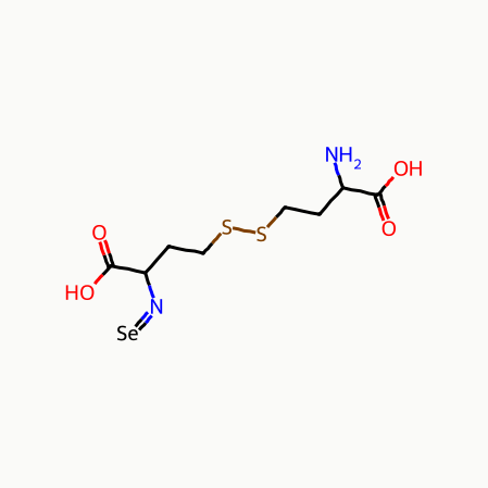 NC(CCSSCCC(N=[Se])C(=O)O)C(=O)O